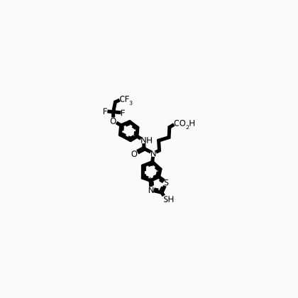 O=C(O)CCCCN(C(=O)Nc1ccc(OC(F)(F)CC(F)(F)F)cc1)c1ccc2nc(S)sc2c1